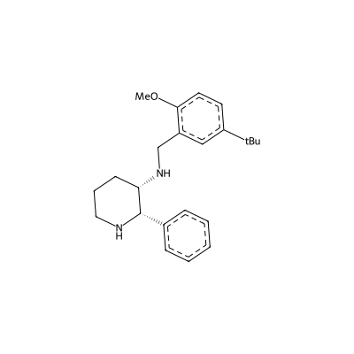 COc1ccc(C(C)(C)C)cc1CN[C@H]1CCCN[C@H]1c1ccccc1